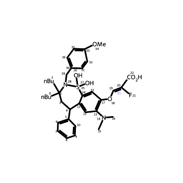 CCCCC1(CCCC)CC(c2ccccc2)c2cc(N(C)C)c(O/C=C(\F)C(=O)O)cc2S(O)(O)N1Cc1ccc(OC)cc1